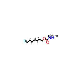 CCCCCCNC(=O)OCCCCCCCF